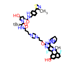 C#Cc1c(F)ccc2cc(O)cc(-c3ncc4c(N5CC6CCC(C5)N6)nc(OCCCN5CCN(CCCC(=O)NC(C(=O)N6C[C@H](O)C[C@H]6C(=O)NCc6ccc(-c7scnc7C)cc6)C(C)(C)C)CC5)nc4c3F)c12